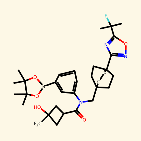 CC(C)(F)c1nc(C23CCC(CN(C(=O)C4CC(O)(C(F)(F)F)C4)c4cccc(B5OC(C)(C)C(C)(C)O5)c4)(CC2)CC3)no1